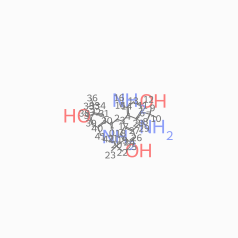 CC(CC(c1cc(C(C)(C)C)c(O)cc1CN)c1cc(C(C)(C)C)c(O)cc1CN)c1cc(C(C)(C)C)c(O)cc1CN